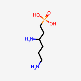 NCCCC(N)CCP(=O)(O)O